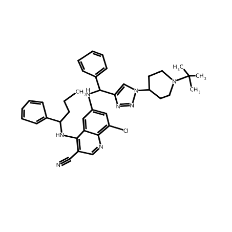 CCCC(Nc1c(C#N)cnc2c(Cl)cc(NC(c3ccccc3)c3cn(C4CCN(C(C)(C)C)CC4)nn3)cc12)c1ccccc1